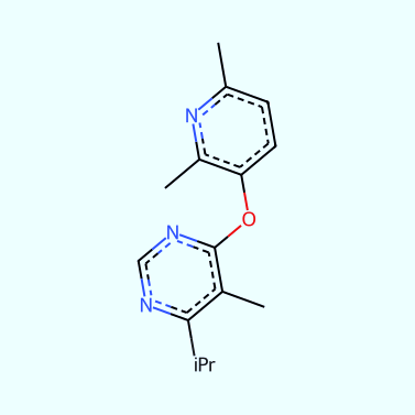 Cc1ccc(Oc2ncnc(C(C)C)c2C)c(C)n1